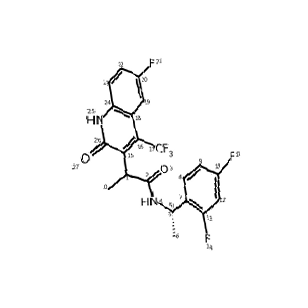 CC(C(=O)N[C@@H](C)c1ccc(F)cc1F)c1c(C(F)(F)F)c2cc(F)ccc2[nH]c1=O